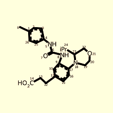 Cc1ccc(NC(=O)Nc2cc(CCC(=O)O)ccc2N2CCOCC2C(C)C)cc1